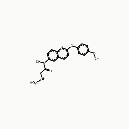 CCN(C(=O)CNC(=O)O)c1ccc2nc(Oc3ccc(OC(C)C)cc3)ccc2c1